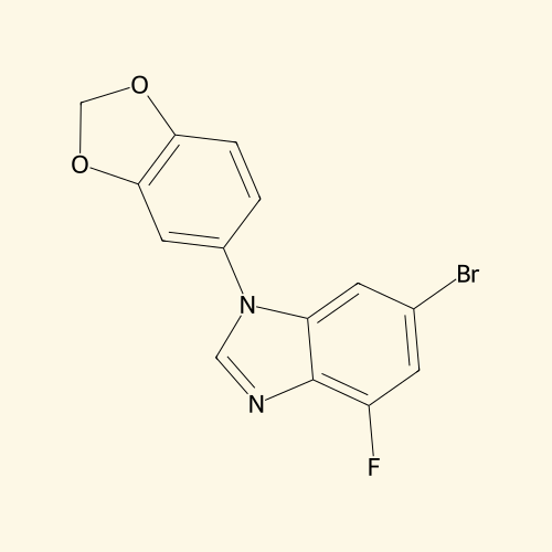 Fc1cc(Br)cc2c1ncn2-c1ccc2c(c1)OCO2